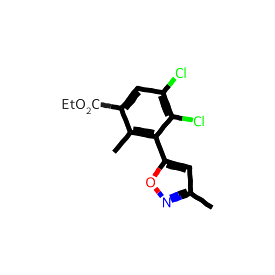 CCOC(=O)c1cc(Cl)c(Cl)c(-c2cc(C)no2)c1C